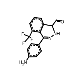 Nc1ccc(C2=NNC(C=O)c3cccc(C(F)(F)F)c32)cc1